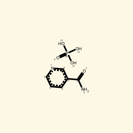 NC(=O)c1cccnc1.O=P(O)(O)O